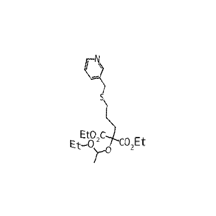 CCOC(=O)C(CCCSCc1cccnc1)(OC(C)OCC)C(=O)OCC